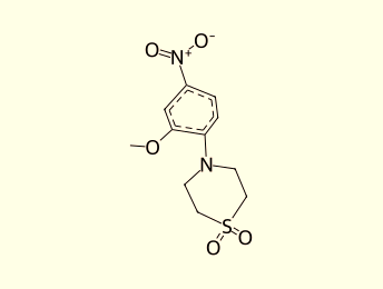 COc1cc([N+](=O)[O-])ccc1N1CCS(=O)(=O)CC1